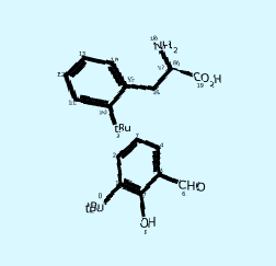 CC(C)(C)c1cccc(C=O)c1O.CC(C)(C)c1ccccc1C[C@@H](N)C(=O)O